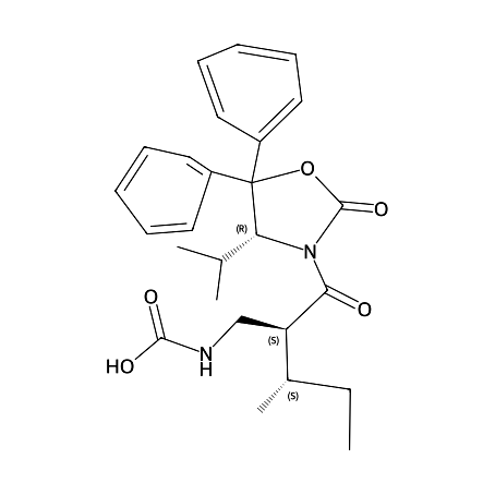 CC[C@H](C)[C@@H](CNC(=O)O)C(=O)N1C(=O)OC(c2ccccc2)(c2ccccc2)[C@H]1C(C)C